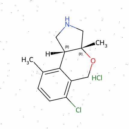 Cc1ccc(Cl)c2c1[C@@H]1CNC[C@]1(C)OC2.Cl